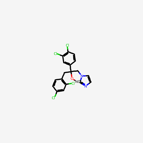 O=[N+]([O-])OC(Cc1ccc(Cl)cc1Cl)(Cn1ccnc1)c1ccc(Cl)c(Cl)c1